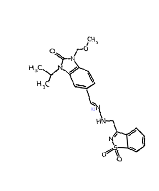 COCn1c(=O)n(C(C)C)c2cc(/C=N/NCC3=NS(=O)(=O)c4ccccc43)ccc21